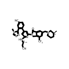 C[C@H]1CCCN(Cc2cc3c(c(C(F)(F)F)c2)CN(c2cc(-c4ccc(C#N)cc4-c4nncn4C)cc(N[C@H](C)CC#N)n2)C3=O)C1